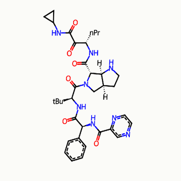 CCC[C@H](NC(=O)[C@@H]1[C@H]2NCC[C@H]2CN1C(=O)[C@@H](NC(=O)[C@@H](NC(=O)c1cnccn1)c1ccccc1)C(C)(C)C)C(=O)C(=O)NC1CC1